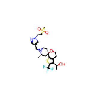 CC(O)c1c(C(F)(F)F)sc2c1CCO[C@@]21CCN(Cc2cnn(CCS(C)(=O)=O)c2)[C@@H](C)C1